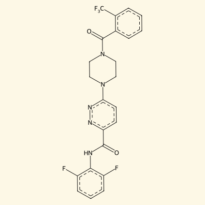 O=C(Nc1c(F)cccc1F)c1ccc(N2CCN(C(=O)c3ccccc3C(F)(F)F)CC2)nn1